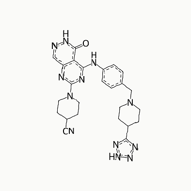 N#CC1CCN(c2nc(Nc3ccc(CN4CCC(c5nn[nH]n5)CC4)cc3)c3c(=O)[nH]ncc3n2)CC1